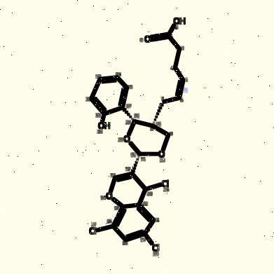 O=C(O)CC/C=C\C[C@@H]1CO[C@H](C2=COc3c(Cl)cc(Cl)cc3C2Cl)O[C@@H]1c1ccccc1O